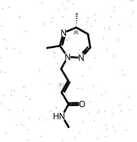 CNC(=O)/C=C/CN1N=CC[C@@H](C)N=C1C